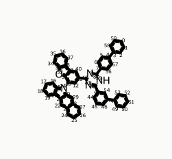 c1ccc(-c2ccc(C3N=C(c4cc(-n5c6ccccc6c6cc7ccccc7cc65)c5oc6ccccc6c5c4)N=C(c4cccc(-c5ccccc5)c4)N3)cc2)cc1